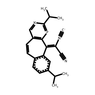 [C-]#[N+]/C(C#N)=C1\C2=C(C=Cc3ccc(C(C)C)cc31)[CH]=[K][C](C(C)C)=P2